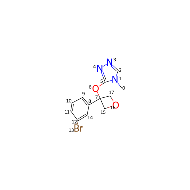 Cn1cnnc1OC1(c2cccc(Br)c2)COC1